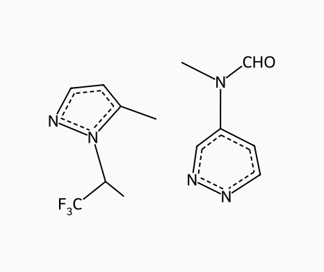 CN(C=O)c1ccnnc1.Cc1ccnn1C(C)C(F)(F)F